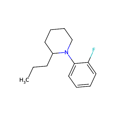 CCCC1CCCCN1c1ccccc1F